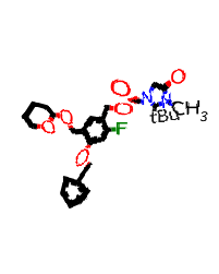 CN1C(=O)CN(C(=O)OCc2cc(COC3CCCCO3)c(OCc3ccccc3)cc2F)C1C(C)(C)C